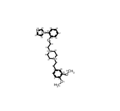 COc1ccc(CCN2CCN(CCOc3ccccc3-n3ccnc3)CC2)cc1OC